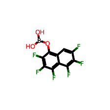 OB(O)Oc1c(F)c(F)c(F)c2c(F)c(F)c(F)cc12